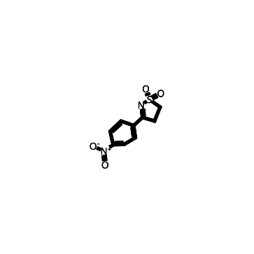 O=[N+]([O-])c1ccc(C2=NS(=O)(=O)CC2)cc1